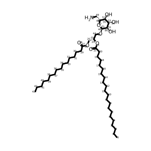 CCCCCCCCCCCCCCCCCCCCCC(=O)O[C@H](COC(=O)CCCCCCCCCCCCCCC)CO[C@H]1O[C@H](CN)[C@@H](O)[C@H](O)[C@H]1O